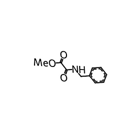 COC(=O)C(=O)NCc1ccccc1